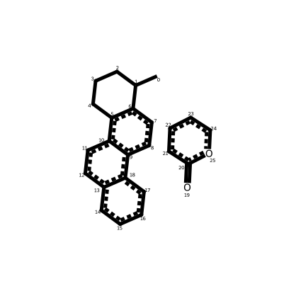 CC1CCCc2c1ccc1c2ccc2ccccc21.O=c1cccco1